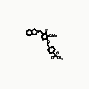 COc1c(OCc2ccc(S(C)(=O)=O)cc2)ccc(CN2Cc3ccccc3C2)c1F